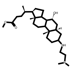 COC(=O)CC[C@@H](C)[C@H]1CCC2C3C(CC[C@@]21C)[C@@]1(C)CCC(NCCN(C)C)C[C@@H]1C[C@H]3O